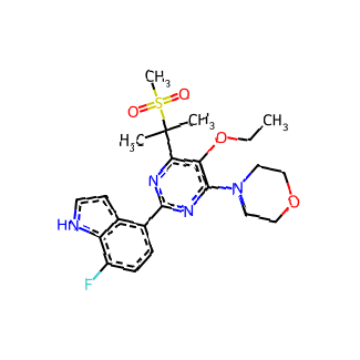 CCOc1c(N2CCOCC2)nc(-c2ccc(F)c3[nH]ccc23)nc1C(C)(C)S(C)(=O)=O